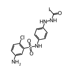 Nc1ccc(Cl)c(S(=O)(=O)Nc2ccc(NNC(=O)I)cc2)c1